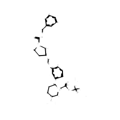 C[C@H]1CC[C@H](c2cccc(OC[C@H]3CCN(C(=O)OCc4ccccc4)C3)c2)N(C(=O)OC(C)(C)C)C1